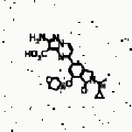 C[C@@H](C1CC1)N1Cc2cc(-c3ccn4nc(N)c(C(=O)O)c4n3)cc(O[C@@H]3CCOC3)c2C1=O